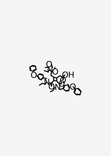 CCCN(Cc1ccc(Oc2ccccc2)cc1)C(=O)C1C(CC(=O)O)C(CC(=O)[N+](CC)(CC)C(C)=O)C1C(=O)N(CCC)Cc1ccc(Oc2ccccc2)cc1